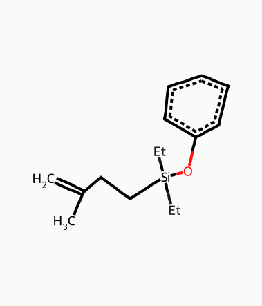 C=C(C)CC[Si](CC)(CC)Oc1ccccc1